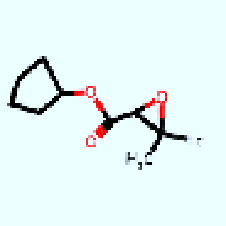 CCC1(C)OC1C(=O)OC1CCCC1